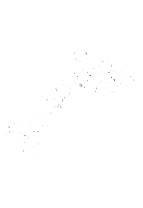 c1ccc(-c2nc(-c3ccc4c(c3)oc3cc(-c5ccc6c(c5)c5ccccc5n6-c5ccccc5)ccc34)nc(-c3cccc4c3c3ccccc3n4-c3ccccc3)n2)cc1